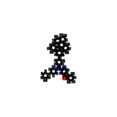 c1ccc(-c2ccc(N(c3ccc(-c4ccc(C5(c6ccccc6)c6ccccc6-c6cccc7cccc5c67)cc4)cc3)c3ccc4c(c3)oc3ccccc34)cc2)cc1